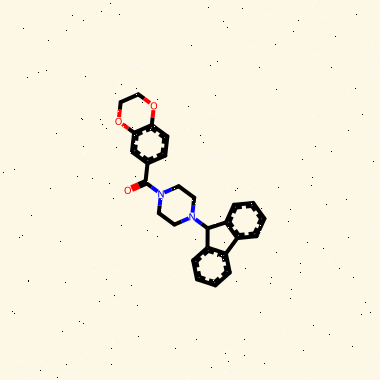 O=C(c1ccc2c(c1)OCCO2)N1CCN(C2c3ccccc3-c3ccccc32)CC1